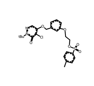 Cc1ccc(S(=O)(=O)OCCOc2cccc(COc3cnn(C(C)(C)C)c(=O)c3Cl)c2)cc1